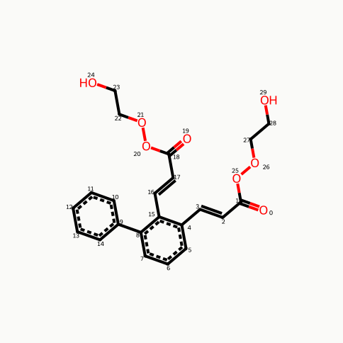 O=C(C=Cc1cccc(-c2ccccc2)c1C=CC(=O)OOCCO)OOCCO